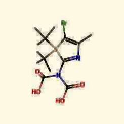 CC1=C(Br)S(C(C)(C)C)(C(C)(C)C)C(N(C(=O)O)C(=O)O)=N1